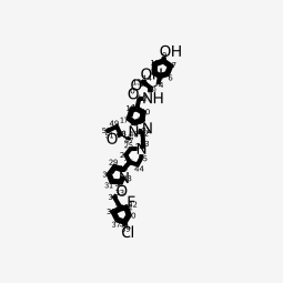 O=C(N[C@@H](Cc1ccc(O)cc1)C(=O)O)c1ccc2c(c1)nc(CN1CCC(c3cccc(OCc4ccc(Cl)cc4F)n3)CC1)n2C[C@@H]1CCO1